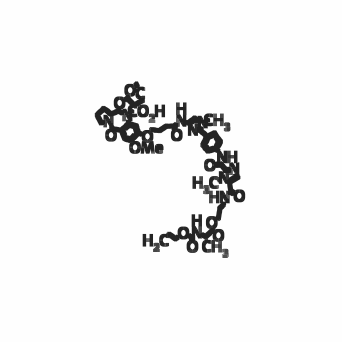 C=CCOC(=O)N[C@@H](C)C(=O)OCCCNC(=O)c1cnc(C(=O)Nc2ccc(-c3nc(NC(=O)CCCOc4cc5c(cc4OC)C(=O)N4CCCC4C(OC4CCCCO4)N5C(=O)O)cn3C)cc2)n1C